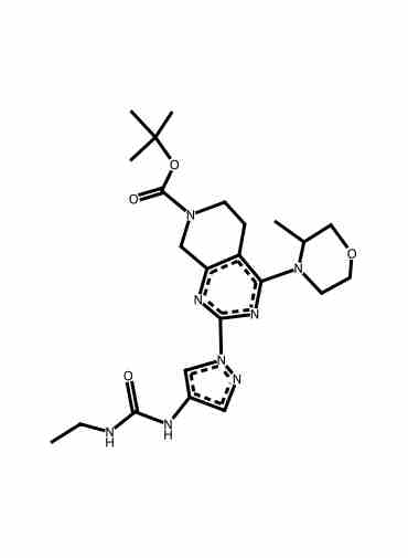 CCNC(=O)Nc1cnn(-c2nc3c(c(N4CCOCC4C)n2)CCN(C(=O)OC(C)(C)C)C3)c1